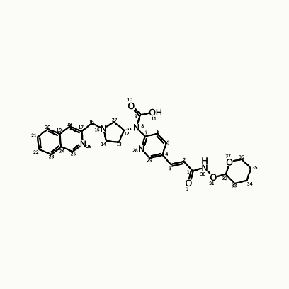 O=C(/C=C/c1ccc(N(C(=O)O)[C@@H]2CCN(Cc3cc4ccccc4cn3)C2)nc1)NOC1CCCCO1